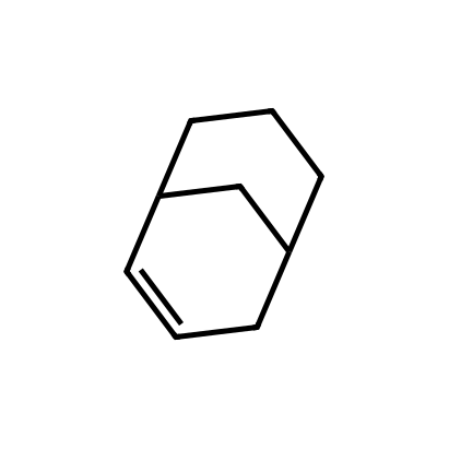 C1=CC2CCCC(C1)C2